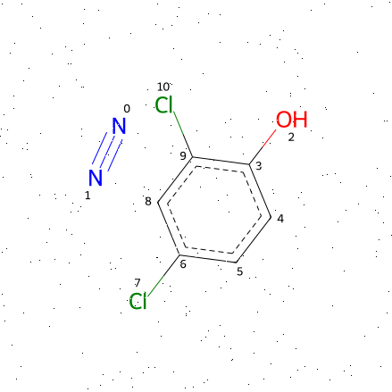 N#N.Oc1ccc(Cl)cc1Cl